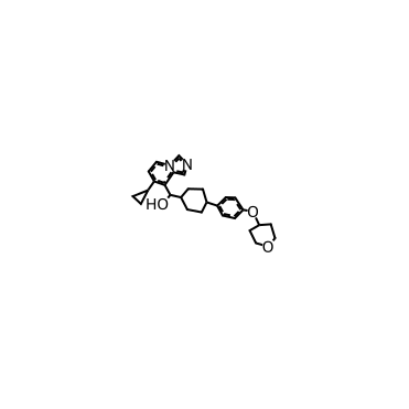 OC(c1c(C2CC2)ccn2cncc12)C1CCC(c2ccc(OC3CCOCC3)cc2)CC1